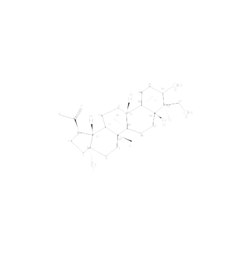 C=C(C)[C@@H]1CC[C@]2(CC)CC[C@]3(C)C(CC[C@@H]4[C@@]5(C)CCC(O)[C@@](C)(CO)[C@@H]5CC[C@]43C)[C@@H]12